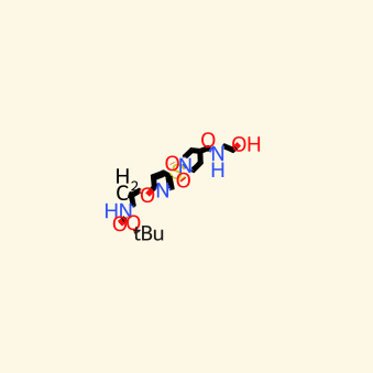 C=C(CNC(=O)OC(C)(C)C)COc1ccc(S(=O)(=O)N2CCC(C(=O)NCCO)CC2)cn1